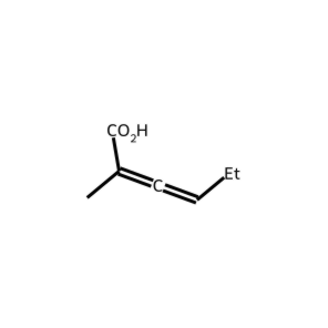 CCC=C=C(C)C(=O)O